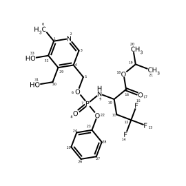 Cc1ncc(COP(=O)(NC(CC(F)(F)F)C(=O)OC(C)C)Oc2ccccc2)c(CO)c1O